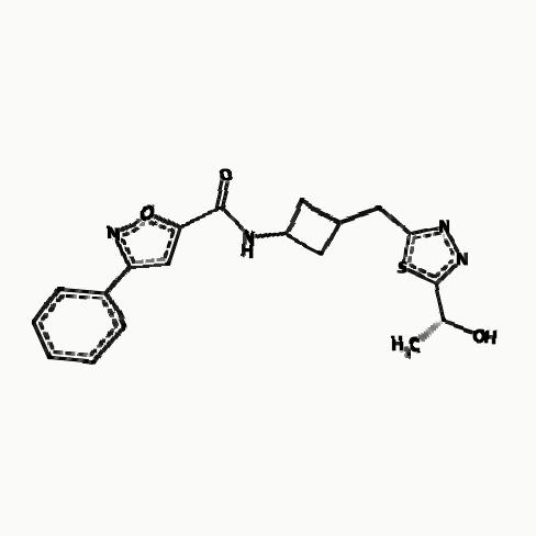 C[C@@H](O)c1nnc(CC2CC(NC(=O)c3cc(-c4ccccc4)no3)C2)s1